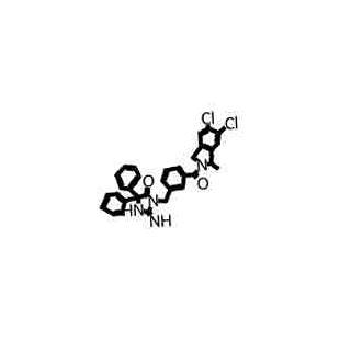 CC1c2cc(Cl)c(Cl)cc2CN1C(=O)c1cccc(CN2C(=N)NC(c3ccccc3)(c3ccccc3)C2=O)c1